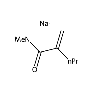 C=C(CCC)C(=O)NC.[Na]